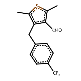 Cc1sc(C)c(Cc2ccc(C(F)(F)F)cc2)c1C=O